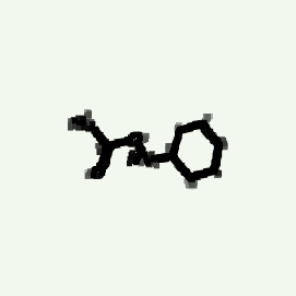 CCCCC(=O)ONC1CCCCC1